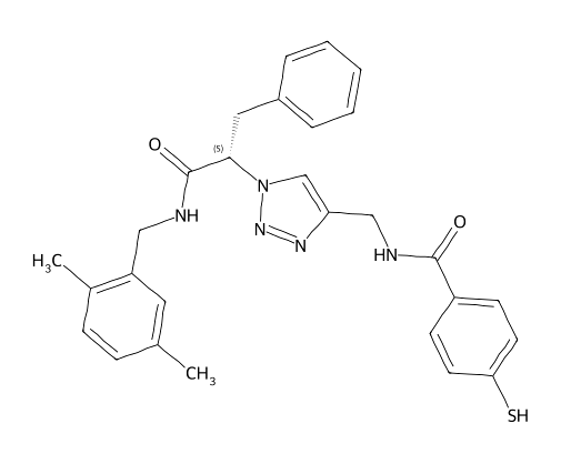 Cc1ccc(C)c(CNC(=O)[C@H](Cc2ccccc2)n2cc(CNC(=O)c3ccc(S)cc3)nn2)c1